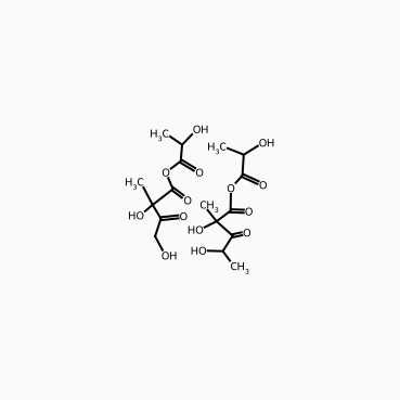 CC(O)C(=O)OC(=O)C(C)(O)C(=O)C(C)O.CC(O)C(=O)OC(=O)C(C)(O)C(=O)CO